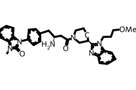 COCCCn1c([C@@H]2CCCN(C(=O)C[C@H](N)Cc3ccc(-n4c(=O)n(C)c5ccccc54)cc3)C2)nc2ccccc21